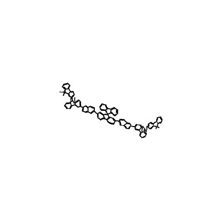 CC1(C)c2ccccc2-c2ccc(-n3c4ccccc4c4cc(-c5ccc6cc(-c7ccc8c(c7)C7(c9ccccc9-c9ccccc97)c7cc(-c9ccc%10cc(-c%11ccc%12c(c%11)c%11ccccc%11n%12-c%11ccc%12c(c%11)C(C)(C)c%11ccccc%11-%12)ccc%10c9)ccc7-8)ccc6c5)ccc43)cc21